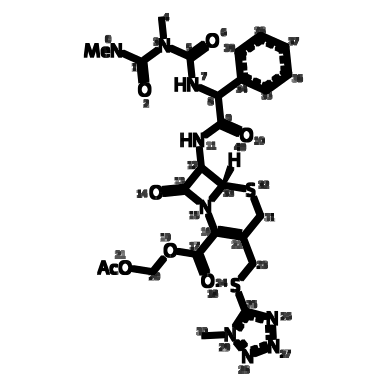 CNC(=O)N(C)C(=O)NC(C(=O)NC1C(=O)N2C(C(=O)OCOC(C)=O)=C(CSc3nnnn3C)CS[C@@H]12)c1ccccc1